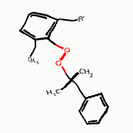 Cc1cccc(C(C)C)c1OOC(C)(C)c1ccccc1